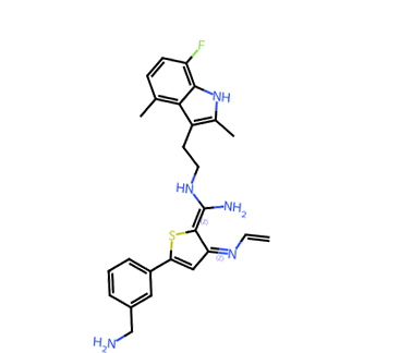 C=C/N=C1/C=C(c2cccc(CN)c2)S/C1=C(/N)NCCc1c(C)[nH]c2c(F)ccc(C)c12